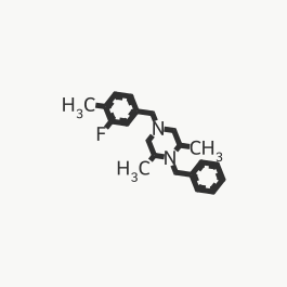 Cc1ccc(CN2CC(C)N(Cc3ccccc3)C(C)C2)cc1F